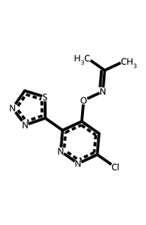 CC(C)=NOc1cc(Cl)nnc1-c1nncs1